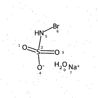 O.O=S(=O)([O-])NBr.[Na+]